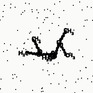 CCCCCCCCOC(CCCCC=CC(OC)OC(C=CCCCCC(OCCCCCCCC)OCCCCCCCC)OC)OCCCCCCCC